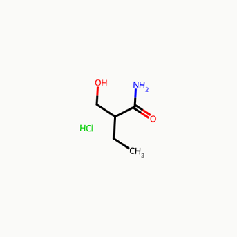 CCC(CO)C(N)=O.Cl